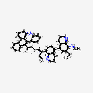 C=C/C(=C\CCC(=C)c1c(-c2ccccc2N)c2ccccc2c2ccccc12)c1ccc(-c2cc(C=C)c(N=C)c3ncccc23)c2cccnc12